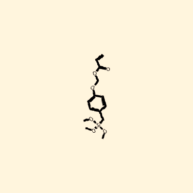 C=CC(=O)OCOc1ccc(C[Si](OC)(OC)OC)cc1